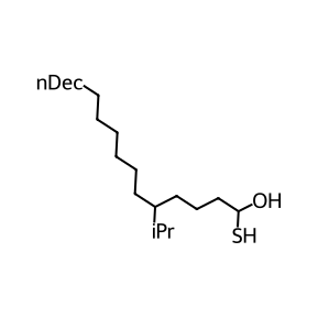 CCCCCCCCCCCCCCCCC(CCCC(O)S)C(C)C